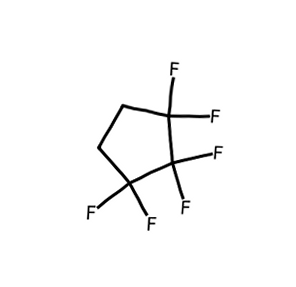 FC1(F)CCC(F)(F)C1(F)F